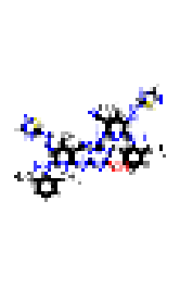 Cc1cccc(C)c1Nc1nc(Nc2nc(O)nc(Nc3nc(Nc4c(C)cccc4C)c(/N=N/c4ncns4)c(C)c3C#N)n2)c(C#N)c(C)c1/N=N/c1ncns1